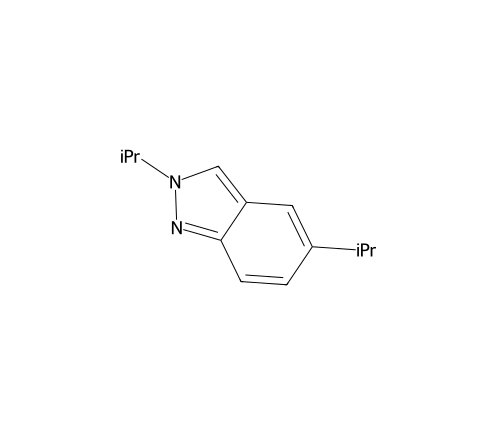 CC(C)c1ccc2nn(C(C)C)cc2c1